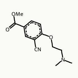 COC(=O)c1ccc(OCCN(C)C)c(C#N)c1